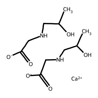 CC(O)CNCC(=O)[O-].CC(O)CNCC(=O)[O-].[Ca+2]